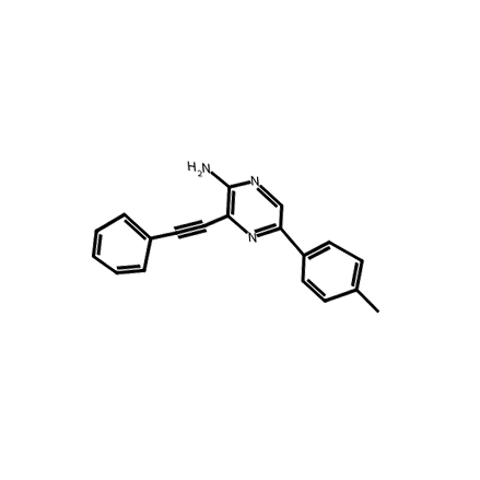 Cc1ccc(-c2cnc(N)c(C#Cc3ccccc3)n2)cc1